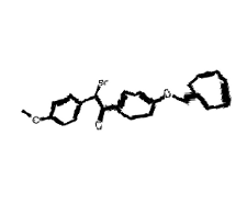 COc1ccc(C(Br)C(=O)c2ccc(OCc3ccccc3)cc2)cc1